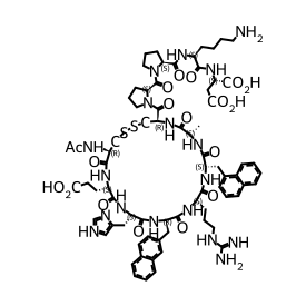 CC(=O)N[C@H]1CSSC[C@@H](C(=O)N2CCC[C@H]2C(=O)N2CCC[C@H]2C(=O)N[C@@H](CCCCN)C(=O)N[C@@H](CC(=O)O)C(=O)O)NC(=O)[C@H](C)NC(=O)[C@H](Cc2cccc3ccccc23)NC(=O)[C@H](CCCNC(=N)N)NC(=O)[C@@H](Cc2ccc3ccccc3c2)NC(=O)[C@H](Cc2c[nH]cn2)NC(=O)[C@H](CCC(=O)O)NC1=O